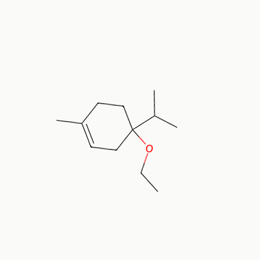 CCOC1(C(C)C)CC=C(C)CC1